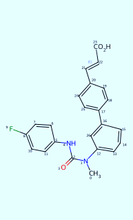 CN(C(=O)Nc1ccc(F)cc1)c1cccc(-c2ccc(/C=C/C(=O)O)cc2)c1